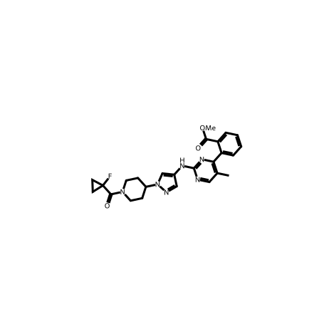 COC(=O)c1ccccc1-c1nc(Nc2cnn(C3CCN(C(=O)C4(F)CC4)CC3)c2)ncc1C